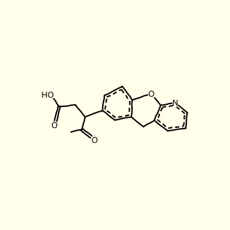 CC(=O)C(CC(=O)O)c1ccc2c(c1)Cc1cccnc1O2